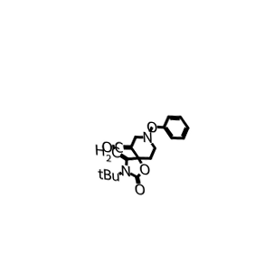 C=C1N(C(C)(C)C)C(=O)OC12CCN(Oc1ccccc1)CC2=C=O